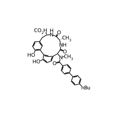 CCCCc1ccc(-c2ccc(C(=O)N(C)[C@@H]3C(=O)N[C@@H](C)C(=O)N[C@H](C(=O)O)Cc4ccc(O)c(c4)-c4cc3ccc4O)cc2)cc1